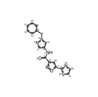 O=C(Nc1cnn(Cc2ccccc2)c1)c1cc(-c2nccs2)on1